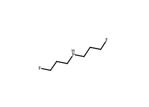 FCCCPCCCF